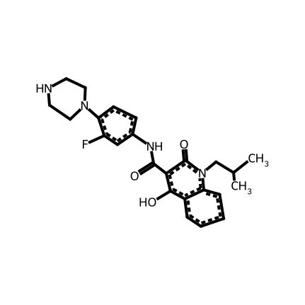 CC(C)Cn1c(=O)c(C(=O)Nc2ccc(N3CCNCC3)c(F)c2)c(O)c2ccccc21